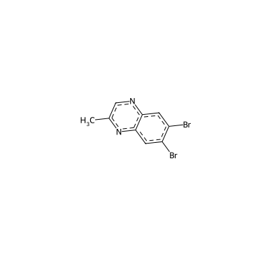 Cc1cnc2cc(Br)c(Br)cc2n1